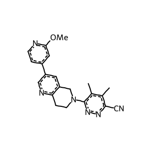 COc1cc(-c2cnc3c(c2)CN(c2nnc(C#N)c(C)c2C)CC3)ccn1